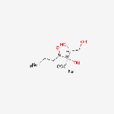 CCCCCCCCCCCC(=O)[C@@](O)(C(=O)[O-])[C@H](O)CO.[Na+]